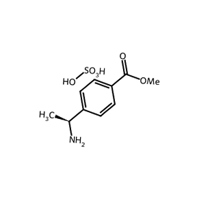 COC(=O)c1ccc([C@H](C)N)cc1.O=S(=O)(O)O